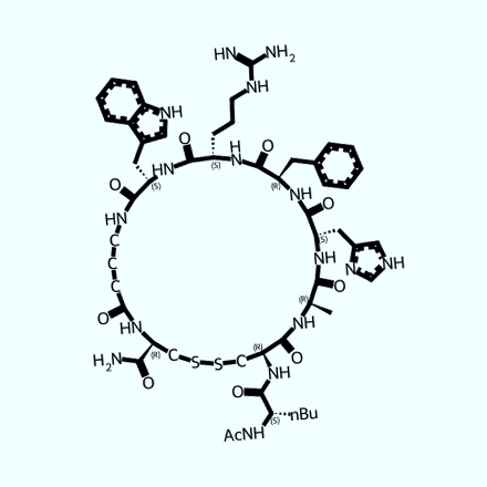 CCCC[C@H](NC(C)=O)C(=O)N[C@H]1CSSC[C@@H](C(N)=O)NC(=O)CCCNC(=O)[C@H](Cc2c[nH]c3ccccc23)NC(=O)[C@H](CCCNC(=N)N)NC(=O)[C@@H](Cc2ccccc2)NC(=O)[C@H](Cc2c[nH]cn2)NC(=O)[C@@H](C)NC1=O